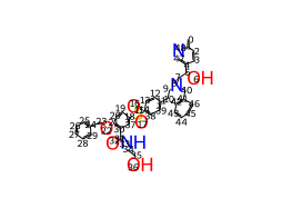 Cc1ccc([C@H](O)CN(CCc2ccc(S(=O)(=O)c3ccc(OCc4ccccc4)c(C(=O)NCCO)c3)cc2)Cc2ccccc2)cn1